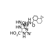 C/N=C1/NC(C(=O)O)C2NC(=N)N[C@@]23[C@H](O)[C@@H](NC(=O)c2cccc4c2CCCC42CC2)CN13